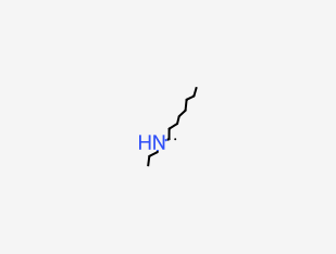 CCCCCCC[CH]NCCC